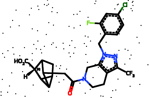 O=C(O)[C@@H]1C2CC3C(C2CC(=O)N2CCc4c(C(F)(F)F)nn(Cc5ccc(Cl)cc5F)c4C2)C31